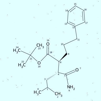 CC(C)C[C@@H](C(N)=O)[C@H](CCCc1ccccc1)C(=O)OC(C)(C)C